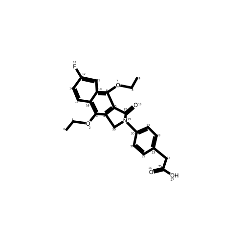 CCOc1c2c(c(OCC)c3cc(F)ccc13)C(=O)N(c1ccc(CC(=O)O)cc1)C2